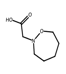 O=C(O)CN1CCCCCO1